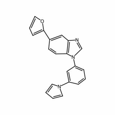 c1cc(-n2cccc2)cc(-n2cnc3cc(-c4ccco4)ccc32)c1